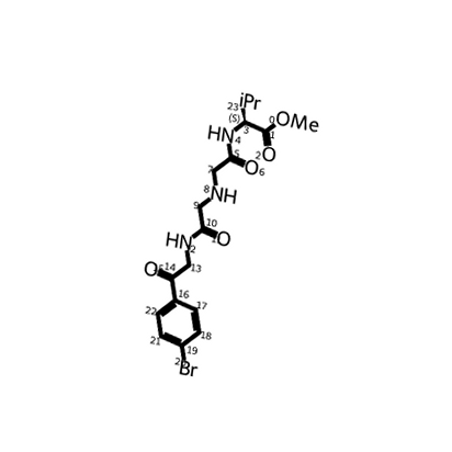 COC(=O)[C@@H](NC(=O)CNCC(=O)NCC(=O)c1ccc(Br)cc1)C(C)C